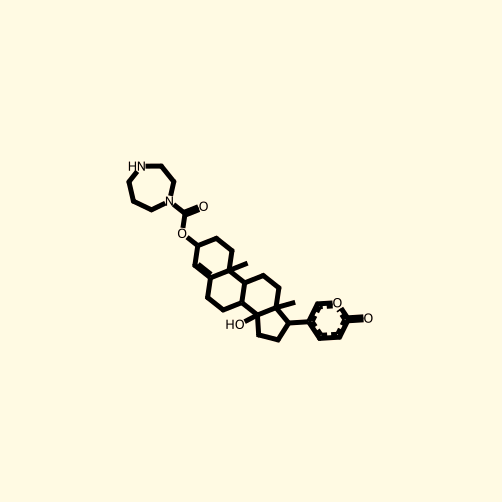 CC12CCC(OC(=O)N3CCCNCC3)C=C1CCC1C2CCC2(C)C(c3ccc(=O)oc3)CCC12O